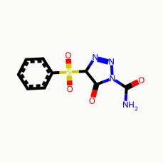 NC(=O)N1N=NC(S(=O)(=O)c2ccccc2)C1=O